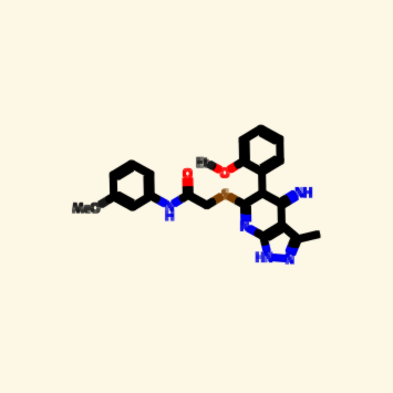 CCOc1ccccc1C1C(=N)c2c(C)n[nH]c2N=C1SCC(=O)Nc1cccc(OC)c1